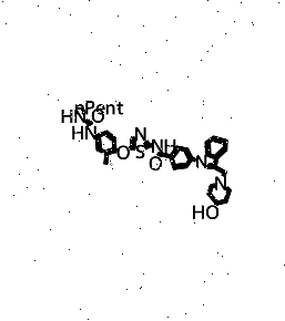 [CH2]c1cc(NC(=O)NCCCCC)ccc1Oc1cnc(NC(=O)c2ccc(-n3cc(CN4CCC(O)CC4)c4ccccc43)cc2)s1